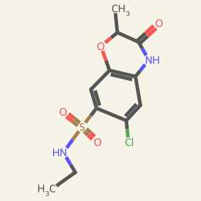 CCNS(=O)(=O)c1cc2c(cc1Cl)NC(=O)C(C)O2